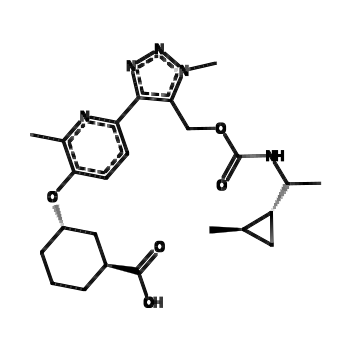 Cc1nc(-c2nnn(C)c2COC(=O)NC(C)[C@@H]2C[C@H]2C)ccc1O[C@H]1CCC[C@H](C(=O)O)C1